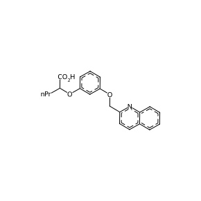 CCCC(Oc1cccc(OCc2ccc3ccccc3n2)c1)C(=O)O